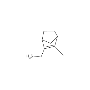 CC1=C(C[SiH3])C2CCC1C2